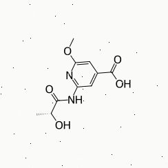 COc1cc(C(=O)O)cc(NC(=O)[C@@H](C)O)n1